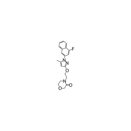 Cc1cc(OCCN2CCOCC2=O)nn1-c1cc(F)c2ccccc2c1